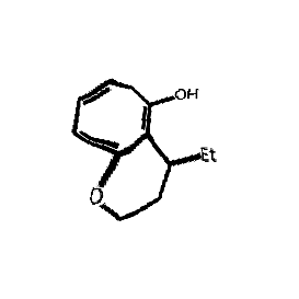 CCC1CCOc2cccc(O)c21